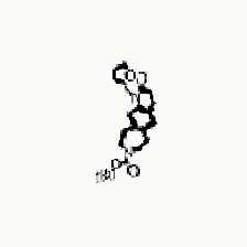 CC(C)(C)OC(=O)N1CCc2cc3c(cc2CC1)N(C[C@@H]1CCCO1)C(=O)CC3